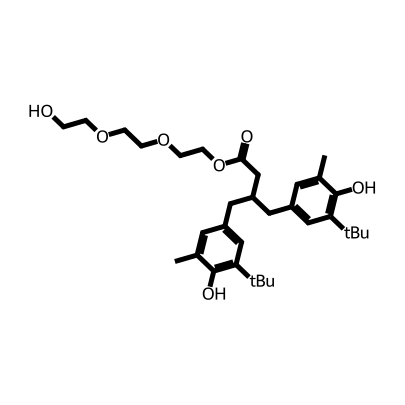 Cc1cc(CC(CC(=O)OCCOCCOCCO)Cc2cc(C)c(O)c(C(C)(C)C)c2)cc(C(C)(C)C)c1O